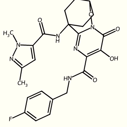 Cc1cc(C(=O)NC23CCC(CC2)Cn2c3nc(C(=O)NCc3ccc(F)cc3)c(O)c2=O)n(C)n1